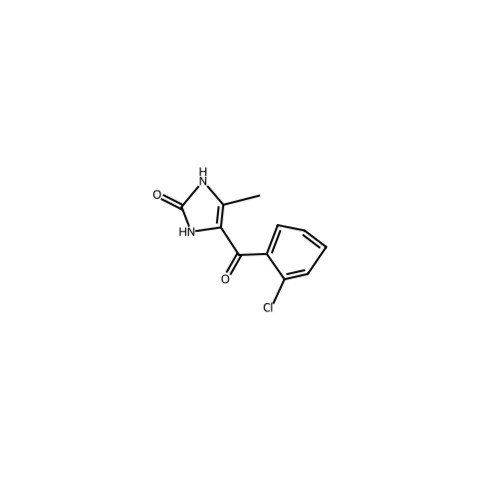 Cc1[nH]c(=O)[nH]c1C(=O)c1ccccc1Cl